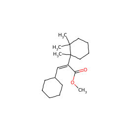 COC(=O)C(=CC1CCCCC1)C1(C)CCCCC1(C)C